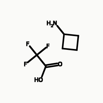 NC1CCC1.O=C(O)C(F)(F)F